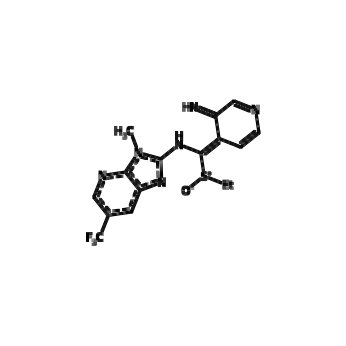 CC[S+]([O-])/C(Nc1nc2cc(C(F)(F)F)cnc2n1C)=C1\C=CN=CC1=N